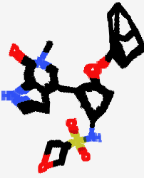 Cn1cc(-c2cc(NS(=O)(=O)C3COC3)ccc2OC2C3CC4CC(C3)CC2C4)c2cc[nH]c2c1=O